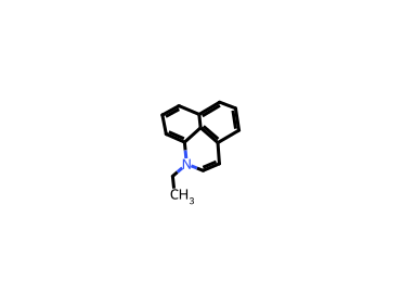 CCN1C=Cc2cccc3cccc1c23